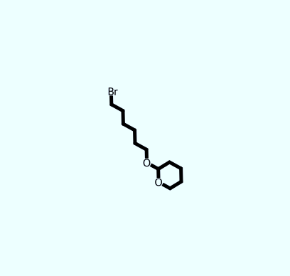 BrCCCCCCOC1CCCCO1